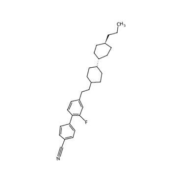 CCC[C@H]1CC[C@H](C2CCC(CCc3ccc(-c4ccc(C#N)cc4)c(F)c3)CC2)CC1